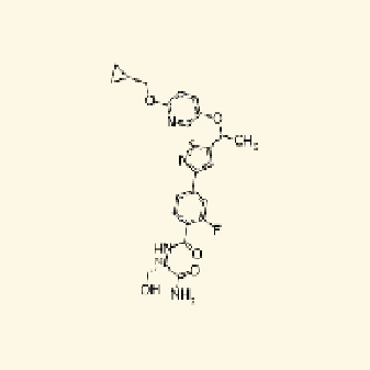 CC(Oc1ccc(OCC2CC2)nc1)c1cc(-c2ccc(C(=O)N[C@@H](CO)C(N)=O)c(F)c2)ns1